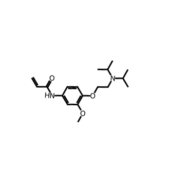 C=CC(=O)Nc1ccc(OCCN(C(C)C)C(C)C)c(OC)c1